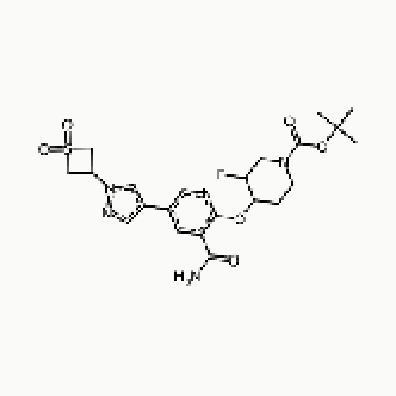 CC(C)(C)OC(=O)N1CCC(Oc2ncc(-c3cnn(C4CS(=O)(=O)C4)c3)cc2C(N)=O)C(F)C1